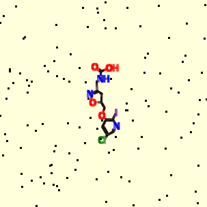 O=C(O)NCC1=NOC(COc2cc(Cl)cnc2I)C1